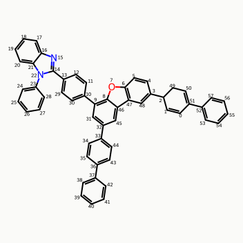 C1=CC(c2ccc3oc4c(-c5ccc(-c6nc7ccccc7n6-c6ccccc6)cc5)cc(-c5ccc(-c6ccccc6)cc5)cc4c3c2)CC=C1c1ccccc1